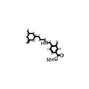 C=C1CC(C)CC(CCCNCc2ccc(C(=O)OC)cc2C)C1